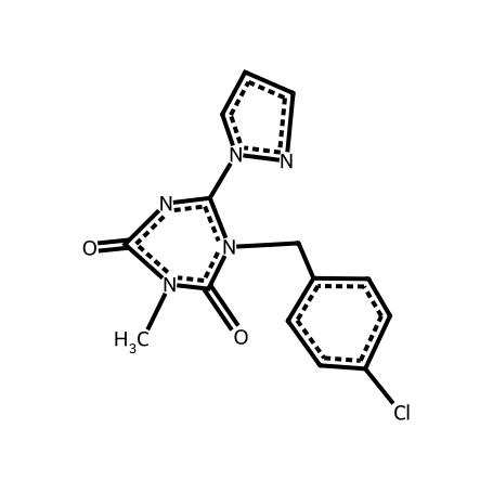 Cn1c(=O)nc(-n2cccn2)n(Cc2ccc(Cl)cc2)c1=O